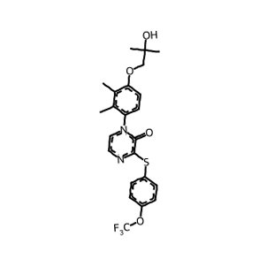 Cc1c(OCC(C)(C)O)ccc(-n2ccnc(Sc3ccc(OC(F)(F)F)cc3)c2=O)c1C